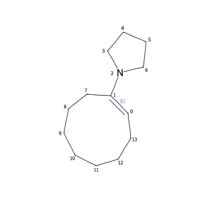 C1=C(/N2CCCC2)CCCCCCC/1